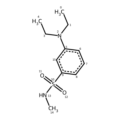 CCN(CC)c1cccc(S(=O)(=O)NC)c1